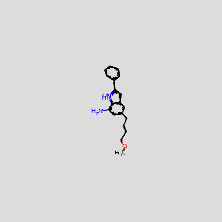 COCCCCc1cc(N)c2[nH]c(-c3ccccc3)cc2c1